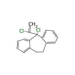 C=C(Cl)C1(Cl)c2ccccc2CCc2ccccc21